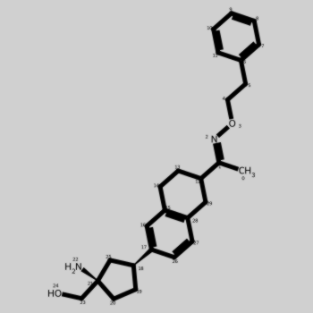 C/C(=N\OCCc1ccccc1)C1CCc2cc([C@H]3CC[C@](N)(CO)C3)ccc2C1